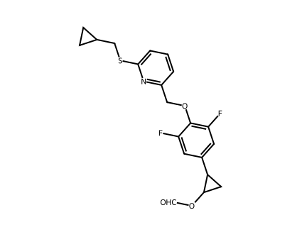 O=COC1CC1c1cc(F)c(OCc2cccc(SCC3CC3)n2)c(F)c1